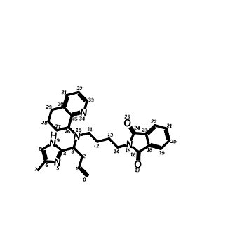 C=CCC(c1nc(C)c[nH]1)N(CCCCN1C(=O)c2ccccc2C1=O)C1CCCc2cccnc21